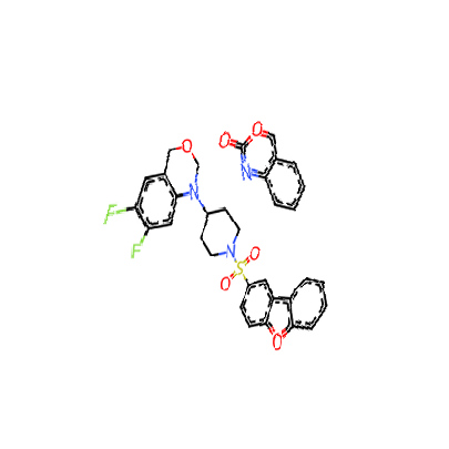 O=S(=O)(c1ccc2oc3ccccc3c2c1)N1CCC(N2COCc3cc(F)c(F)cc32)CC1.O=c1nc2ccccc2co1